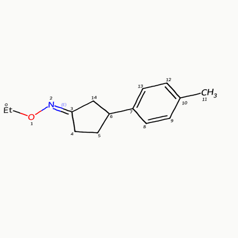 CCO/N=C1\CCC(c2ccc(C)cc2)C1